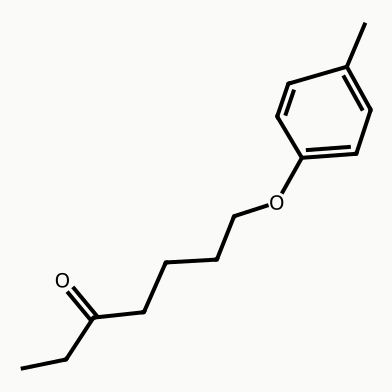 CCC(=O)CCCCOc1ccc(C)cc1